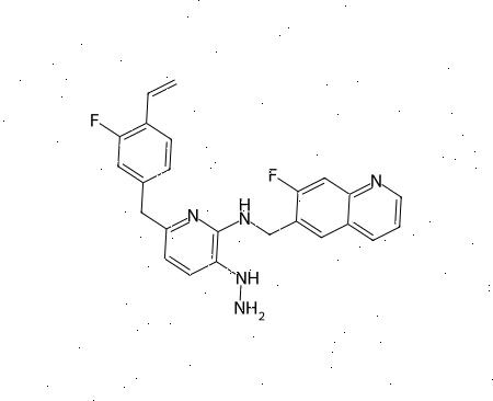 C=Cc1ccc(Cc2ccc(NN)c(NCc3cc4cccnc4cc3F)n2)cc1F